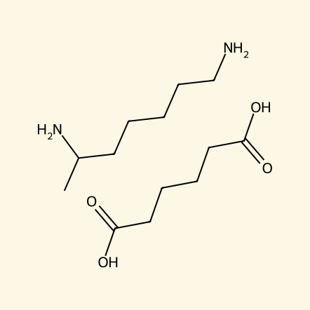 CC(N)CCCCCN.O=C(O)CCCCC(=O)O